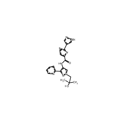 CC(C)(O)Cn1cc(NC(=O)c2csc(-c3cn[nH]c3)n2)c(-c2ccccn2)n1